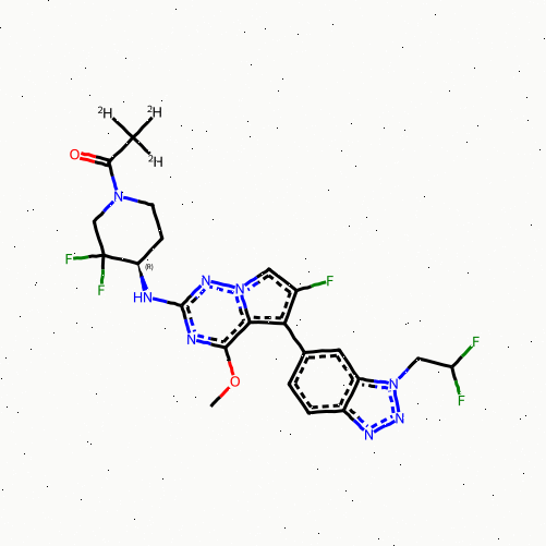 [2H]C([2H])([2H])C(=O)N1CC[C@@H](Nc2nc(OC)c3c(-c4ccc5nnn(CC(F)F)c5c4)c(F)cn3n2)C(F)(F)C1